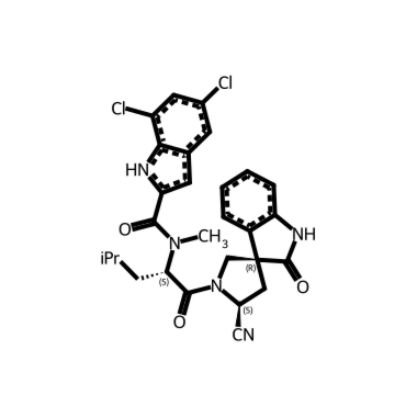 CC(C)C[C@@H](C(=O)N1C[C@]2(C[C@H]1C#N)C(=O)Nc1ccccc12)N(C)C(=O)c1cc2cc(Cl)cc(Cl)c2[nH]1